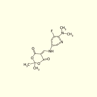 CN(C)c1ncc(NC=C2C(=O)OC(C)(C)OC2=O)cc1F